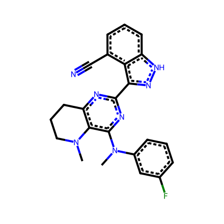 CN1CCCc2nc(-c3n[nH]c4cccc(C#N)c34)nc(N(C)c3cccc(F)c3)c21